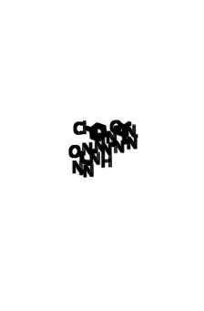 CC(C)C12N=CN=C1N=C(NNC1=NC(=O)C3=NC=NC3=N1)N(c1ccc(Cl)cc1)C2=O